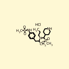 CCCN(C(C)Cc1ccc(NS(C)(=O)=O)cc1)C(C1CCNCC1)S(C)(=O)=O.Cl